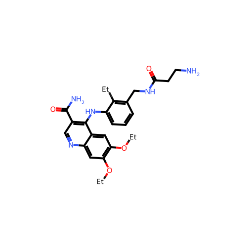 CCOc1cc2ncc(C(N)=O)c(Nc3cccc(CNC(=O)CCN)c3CC)c2cc1OCC